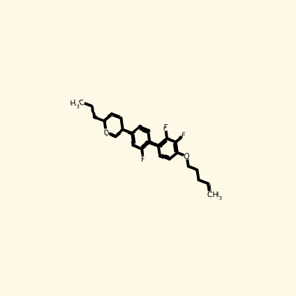 CCCCCOc1ccc(-c2ccc(C3CCC(CCC)OC3)cc2F)c(F)c1F